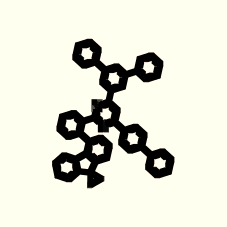 c1ccc(-c2ccc(-c3cc(-c4cc(-c5ccccc5)cc(-c5ccccc5)c4)nc(-c4ccccc4-c4cccc5c4-c4ccccc4C54CC4)n3)cc2)cc1